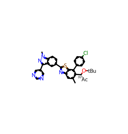 CC(=O)[C@@H](OC(C)(C)C)c1c(C)cc2nc(-c3ccc4c(c3)c(-c3cncnc3)nn4C)sc2c1-c1ccc(Cl)cc1